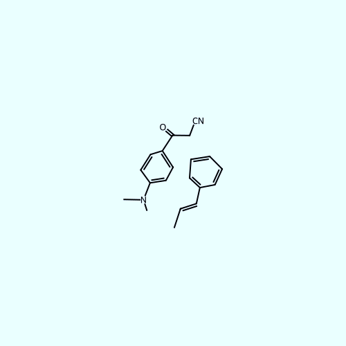 CC=Cc1ccccc1.CN(C)c1ccc(C(=O)CC#N)cc1